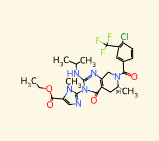 CCOC(=O)c1cnc(-n2c(NC(C)C)nc3c(c2=O)C[C@@H](C)N(C(=O)c2ccc(Cl)c(C(F)(F)F)c2)C3)n1C